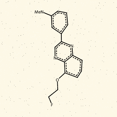 CNc1cccc(-c2cnc3c(OCCF)cccc3n2)c1